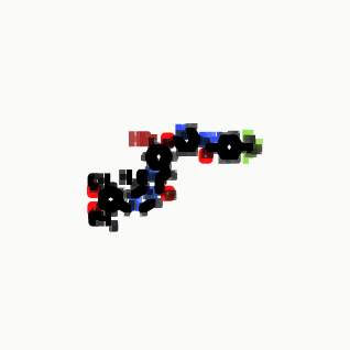 Br.COc1ccc(CN2CCN(C(=O)c3cc4cc(Oc5ccc(NC(=O)c6ccc(C(F)(F)F)cc6)cn5)ccc4n3C)CC2)cc1OC